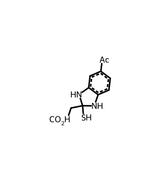 CC(=O)c1ccc2c(c1)NC(S)(CC(=O)O)N2